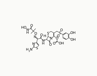 CC(C)(O/N=C(\C(=O)N[C@@H]1C(=O)N2C(OC(=O)O)=C(CS(=O)(=O)c3ccc(O)c(O)c3)CS[C@H]12)c1csc(N)n1)C(=O)NO